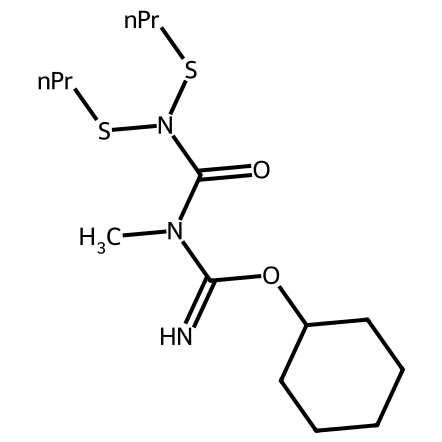 CCCSN(SCCC)C(=O)N(C)C(=N)OC1CCCCC1